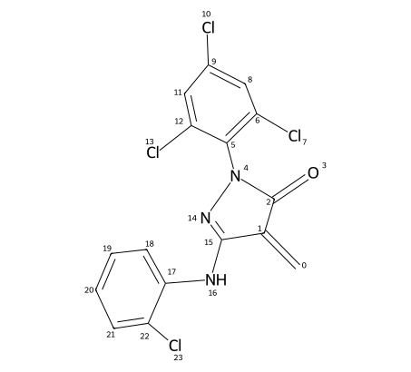 C=C1C(=O)N(c2c(Cl)cc(Cl)cc2Cl)N=C1Nc1ccccc1Cl